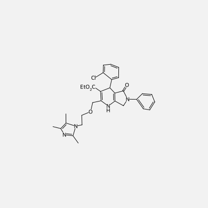 CCOC(=O)C1=C(COCCn2c(C)nc(C)c2C)NC2=C(C(=O)N(c3ccccc3)C2)C1c1ccccc1Cl